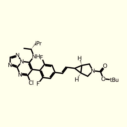 CC(C)[C@@H](C)Nc1c(-c2c(F)cc(/C=C/C3[C@H]4CN(C(=O)OC(C)(C)C)C[C@@H]34)cc2F)c(Cl)nc2ncnn12